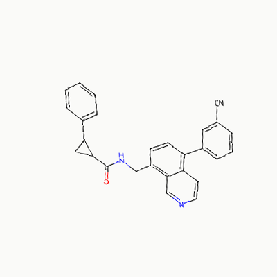 N#Cc1cccc(-c2ccc(CNC(=O)C3CC3c3ccccc3)c3cnccc23)c1